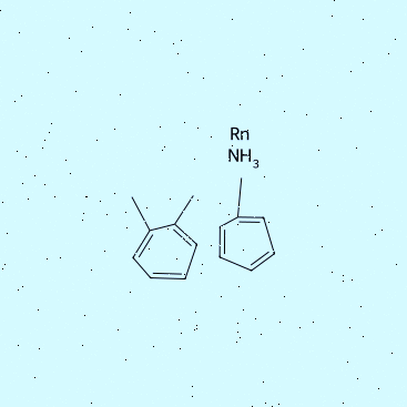 Cc1ccccc1.Cc1ccccc1C.N.[Rn]